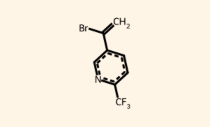 C=C(Br)c1ccc(C(F)(F)F)nc1